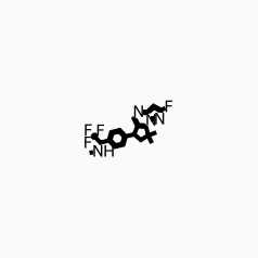 CN[C@@H](c1ccc(C2CC(C)(C)c3c2cnc2cc(F)nn32)cc1)C(F)(F)F